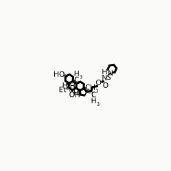 CC[C@H]1[C@@H](O)[C@@H]2C(CC[C@]3(C)[C@@H]([C@H](C)CCOC(=O)NSN4CCCCC4)CC[C@@H]23)[C@@]2(C)CC[C@@H](O)C[C@@H]12